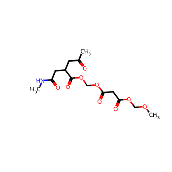 CNC(=O)CC(CC(C)=O)C(=O)OCOC(=O)CC(=O)OCOC